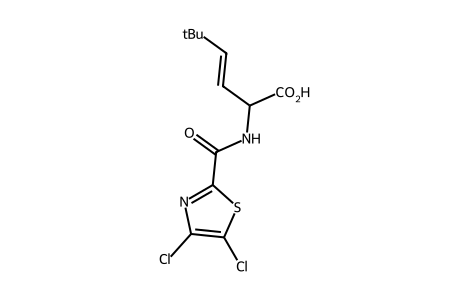 CC(C)(C)/C=C/C(NC(=O)c1nc(Cl)c(Cl)s1)C(=O)O